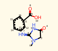 CN1CC(=O)NC1=N.O=C(O)c1ccccc1